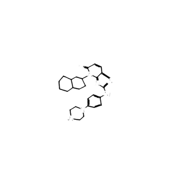 CN1CCN(c2ccc(Nc3ncc4ccc(=O)n(C5CCC6CCCCC6C5)c4n3)cc2)CC1